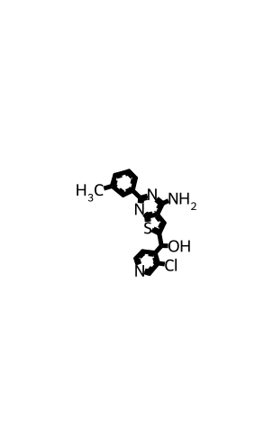 Cc1cccc(-c2nc(N)c3cc(C(O)c4ccncc4Cl)sc3n2)c1